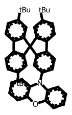 CC(C)(C)c1ccc2c(c1)C1(c3cc(N4c5ccccc5Oc5ccccc54)ccc3-2)c2cc(C(C)(C)C)ccc2-c2ccc(C(C)(C)C)cc21